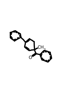 CC1(C(=O)c2ccccc2)C=CC(c2ccccc2)=CC1